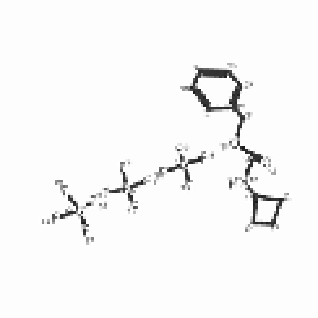 F[B-](F)(F)F.F[B-](F)(F)F.F[B-](F)(F)F.O=C(NC1CCC1)OCc1ccccc1